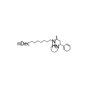 C=C(CC(C1=CCCC=C1)N1CCCCC1)NCCCCCCCCCCCCCCCCC